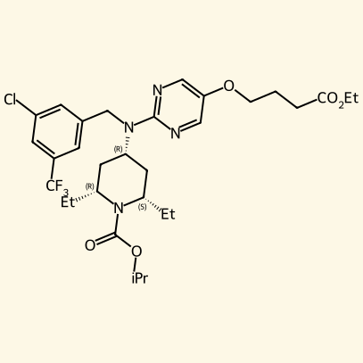 CCOC(=O)CCCOc1cnc(N(Cc2cc(Cl)cc(C(F)(F)F)c2)[C@H]2C[C@@H](CC)N(C(=O)OC(C)C)[C@@H](CC)C2)nc1